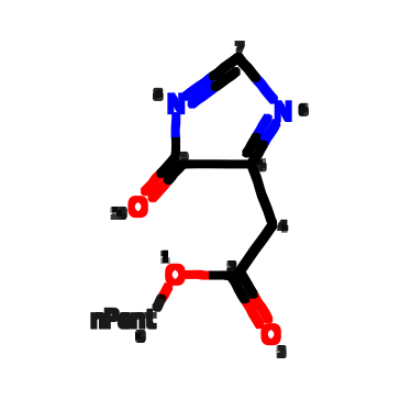 CCCCCOC(=O)CC1=NC=NC1=O